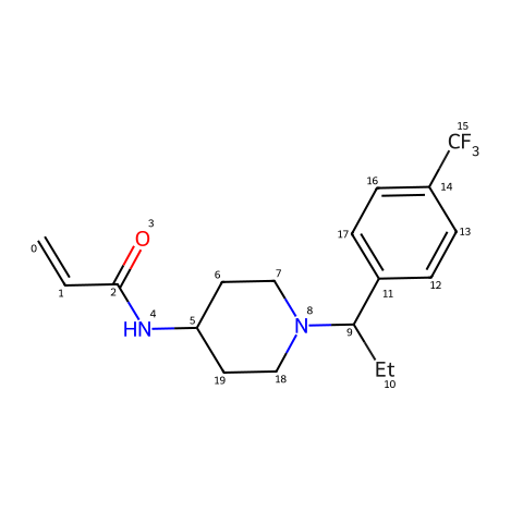 C=CC(=O)NC1CCN(C(CC)c2ccc(C(F)(F)F)cc2)CC1